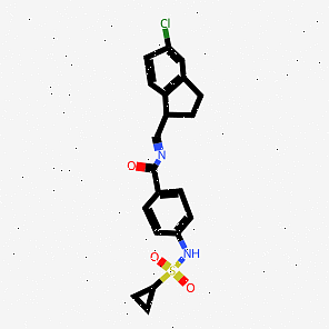 O=C(N=CC1CCc2cc(Cl)ccc21)c1ccc(NS(=O)(=O)C2CC2)cc1